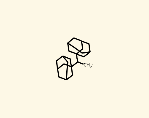 [CH2]C(C12CC3CC(CC(C3)C1)C2)C12CC3CC(CC(C3)C1)C2